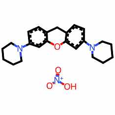 O=[N+]([O-])O.c1cc2c(cc1N1CCCCC1)Oc1cc(N3CCCCC3)ccc1C2